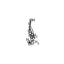 C[C@H](CCC(=O)O)[C@H]1CC[C@H]2[C@@H]3CC[C@@H]4C[C@@H](OC(=O)COCCOCCO)CC[C@]4(C)[C@H]3CC[C@]12C